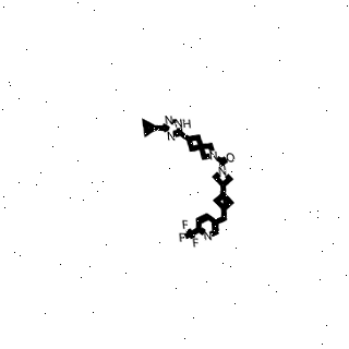 O=C(N1CC(C23CC(Cc4ccc(C(F)(F)F)nc4)(C2)C3)C1)N1CC2(CC(c3nc(C4CC4)n[nH]3)C2)C1